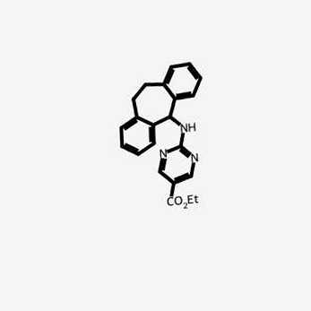 CCOC(=O)c1cnc(NC2c3ccccc3CCc3ccccc32)nc1